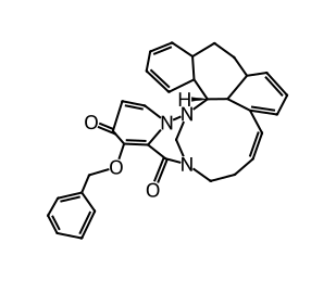 O=C1c2c(OCc3ccccc3)c(=O)ccn2N2CN1CC/C=C\C1=CC=CC3CCC4C=CC=CC4[C@@H]2C13